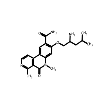 Cc1nccc2c1c(=O)n(C)c1cc(OCC(N)CC(C)C)c(C(N)=O)cc21